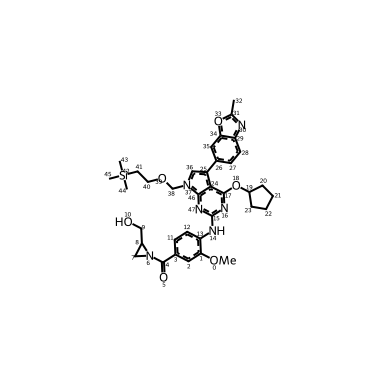 COc1cc(C(=O)N2CC2CO)ccc1Nc1nc(OC2CCCC2)c2c(-c3ccc4nc(C)oc4c3)cn(COCC[Si](C)(C)C)c2n1